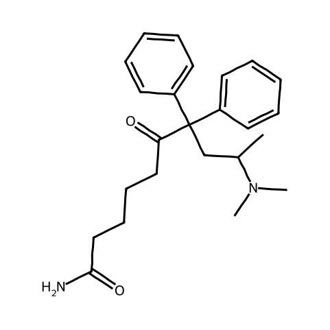 CC(CC(C(=O)CCCCC(N)=O)(c1ccccc1)c1ccccc1)N(C)C